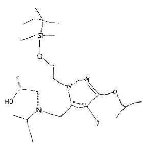 CC(C)Oc1nn(CCO[Si](C)(C)C(C)(C)C)c(CN(C[C@@H](C)O)C(C)C)c1I